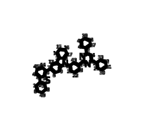 C1=Cc2c(sc3c(-c4ccc5c(c4)c4ccccc4n5-c4cccc(-c5nc(-c6ccccc6)cc(-c6ccccc6)n5)c4)cccc23)CC1